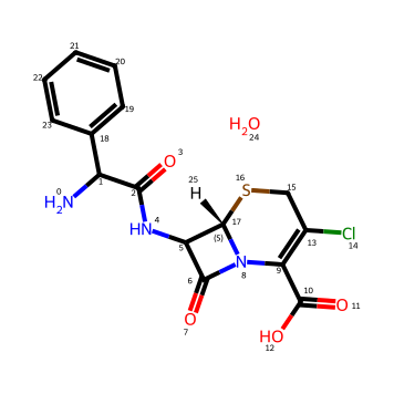 NC(C(=O)NC1C(=O)N2C(C(=O)O)=C(Cl)CS[C@@H]12)c1ccccc1.O